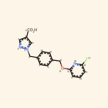 O=C(O)c1cnn(Cc2ccc(COc3cccc(F)n3)cc2)c1